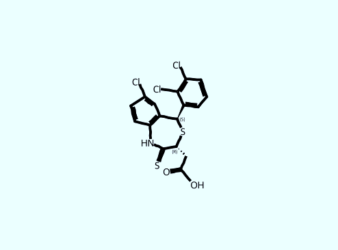 O=C(O)C[C@H]1S[C@H](c2cccc(Cl)c2Cl)c2cc(Cl)ccc2NC1=S